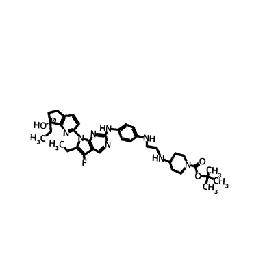 CCc1c(F)c2cnc(Nc3ccc(NCCNC4CCN(C(=O)OC(C)(C)C)CC4)cc3)nc2n1-c1ccc2c(n1)[C@@](O)(CC)CC2